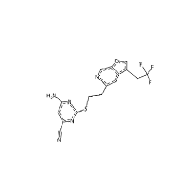 N#Cc1cc(N)nc(SCCc2cc3c(CC(F)(F)F)coc3cn2)n1